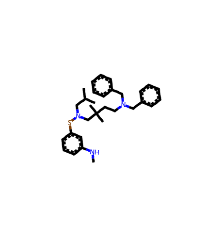 CNc1cccc(SN(CC(C)C)CC(C)(C)CCN(Cc2ccccc2)Cc2ccccc2)c1